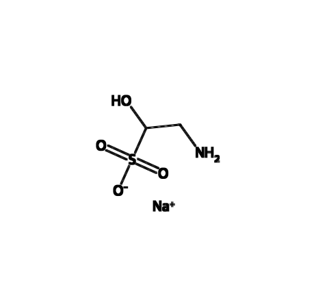 NCC(O)S(=O)(=O)[O-].[Na+]